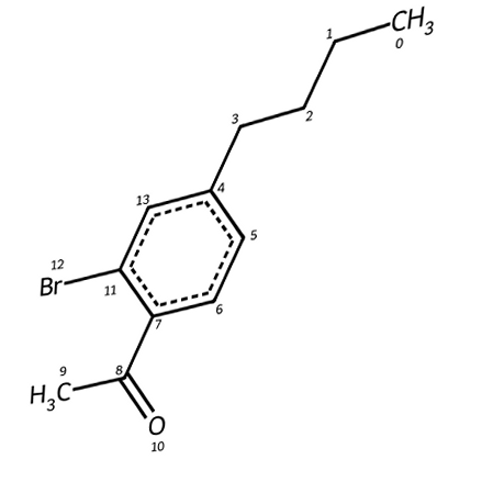 CCCCc1ccc(C(C)=O)c(Br)c1